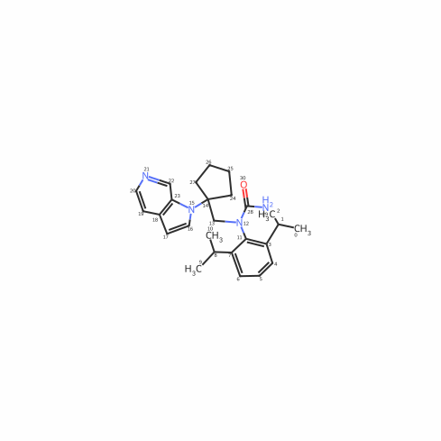 CC(C)c1cccc(C(C)C)c1N(CC1(n2ccc3ccncc32)CCCC1)C(N)=O